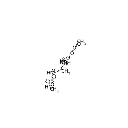 C=N/C(=C\C=C(/C)C#Cc1n[nH]c2cc(Sc3ccccc3C(=O)NC)ccc12)NC(=O)COCCOCCOCCOC